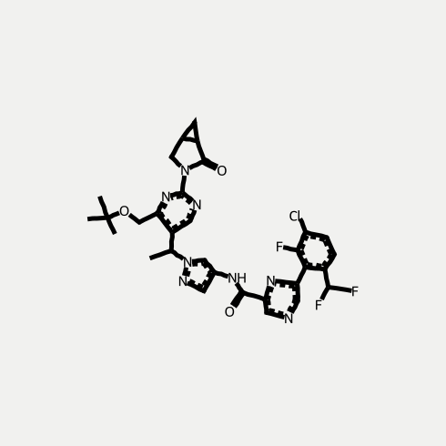 CC(c1cnc(N2CC3CC3C2=O)nc1COC(C)(C)C)n1cc(NC(=O)c2cncc(-c3c(C(F)F)ccc(Cl)c3F)n2)cn1